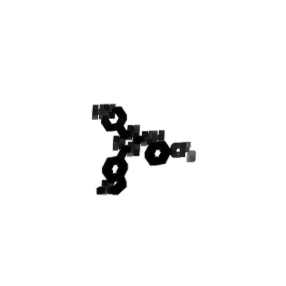 Cn1ccc2cc(-c3nc(Nc4cccc(C(F)(F)F)c4)nc(C4CCNCC4)n3)ccc21